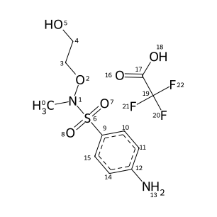 CN(OCCO)S(=O)(=O)c1ccc(N)cc1.O=C(O)C(F)(F)F